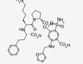 NCCCC[C@H](N[C@@H](CCc1ccccc1)C(=O)O)C(=O)N1CCC[C@H]1C(=O)O.NS(=O)(=O)c1cc(C(=O)O)c(NCc2ccco2)cc1Cl